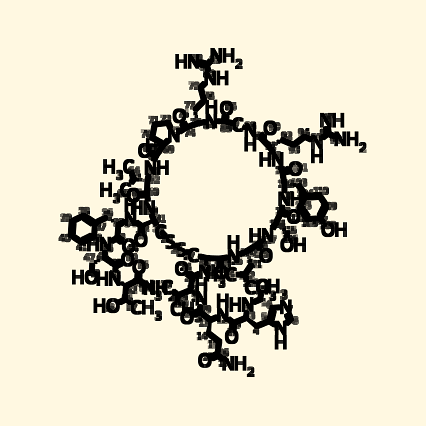 CCN[C@@H](Cc1cnc[nH]1)C(=O)N[C@@H](CCC(N)=O)C(=O)N[C@H](C(=O)N[C@H]1CSSC[C@@H](C(=O)N[C@@H](Cc2ccccc2)C(=O)N[C@@H](CO)C(=O)N[C@H](C(N)=O)[C@@H](C)O)NC(=O)[C@H](C(C)C)NC(=O)[C@@H]2CCCN2C(=O)[C@H](CCCNC(=N)N)NC(=O)CNC(=O)[C@H](CCCNC(=N)N)NC(=O)[C@H](Cc2ccc(O)cc2)NC(=O)[C@H](CO)NC(=O)[C@H](CC(C)C)NC1=O)C(C)C